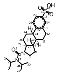 CC(C)N(C(=O)[C@H]1CC[C@H]2[C@@H]3CCc4cc(S(=O)(=O)O)ccc4[C@H]3CC[C@]12C)C(C)C